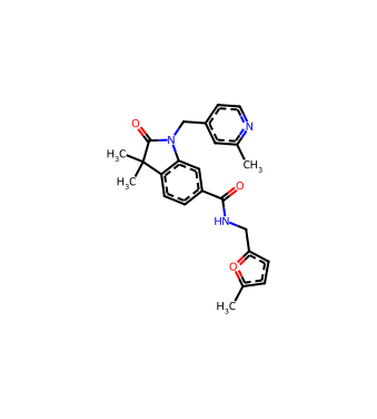 Cc1cc(CN2C(=O)C(C)(C)c3ccc(C(=O)NCc4ccc(C)o4)cc32)ccn1